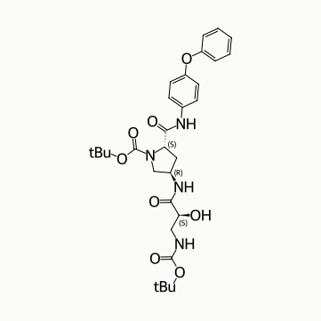 CC(C)(C)OC(=O)NC[C@H](O)C(=O)N[C@@H]1C[C@@H](C(=O)Nc2ccc(Oc3ccccc3)cc2)N(C(=O)OC(C)(C)C)C1